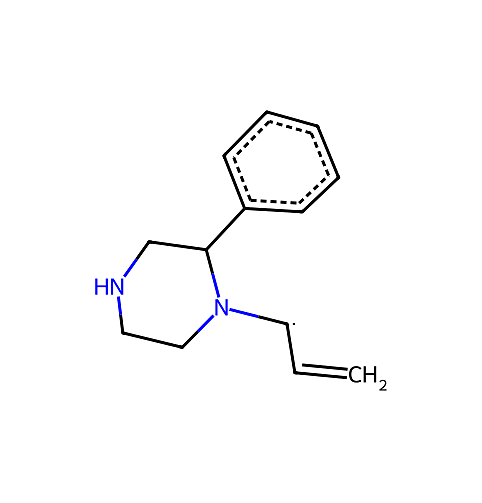 C=C[CH]N1CCNCC1c1ccccc1